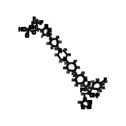 O=P(O)(O)OC(c1cn(-c2ccc(N3CCN(c4ccc(-c5ccc(C(F)(F)[C@](O)(Cn6cnnn6)c6ccc(F)cc6F)nc5)cc4)CC3)cc2)nn1)C(F)(F)F